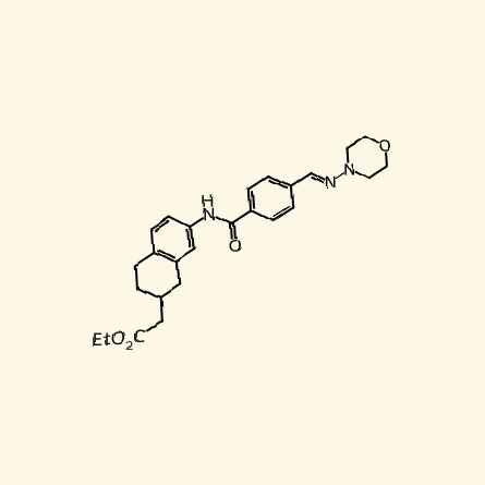 CCOC(=O)CC1CCc2ccc(NC(=O)c3ccc(/C=N/N4CCOCC4)cc3)cc2C1